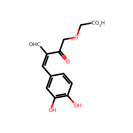 O=[C]C(=Cc1ccc(O)c(O)c1)C(=O)COCC(=O)O